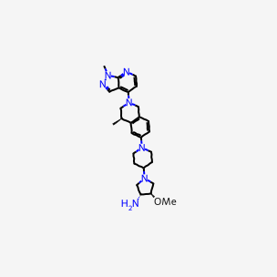 CO[C@@H]1CN(C2CCN(c3ccc4c(c3)[C@@H](C)CN(c3ccnc5c3cnn5C)C4)CC2)C[C@H]1N